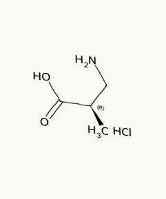 C[C@H](CN)C(=O)O.Cl